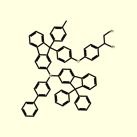 Cc1ccc(C2(c3ccc(Oc4ccc(C(CC(C)C)C(C)C)cc4)cc3)c3ccccc3-c3ccc(N(c4ccc(-c5ccccc5)cc4)c4ccc5c(c4)C(c4ccccc4)(c4ccccc4)c4ccccc4-5)cc32)cc1